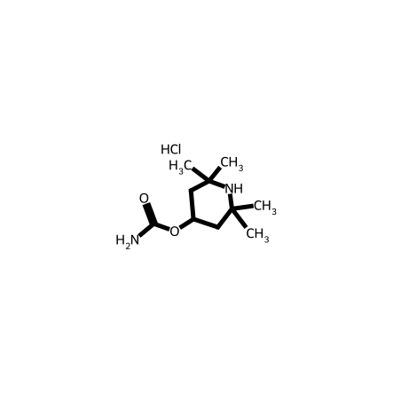 CC1(C)CC(OC(N)=O)CC(C)(C)N1.Cl